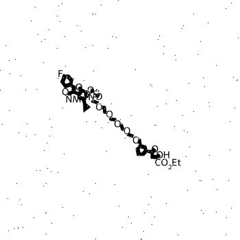 CCOC(=O)C(O)=CC(=O)c1cccc(COCCOCCOCCOCCOCCN(c2cc3oc(-c4ccc(F)cc4)c(C(=O)NC)c3cc2C2CC2)S(C)(=O)=O)c1